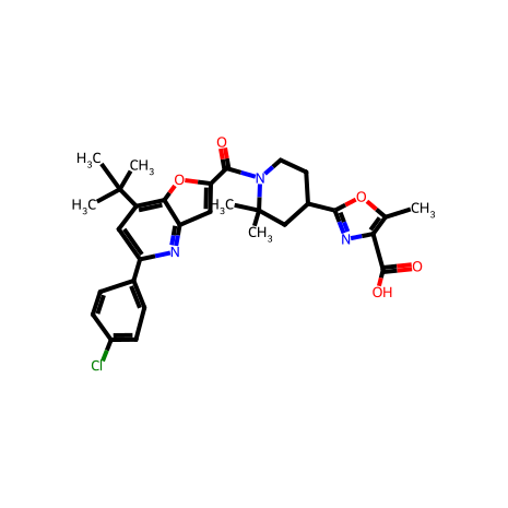 Cc1oc(C2CCN(C(=O)c3cc4nc(-c5ccc(Cl)cc5)cc(C(C)(C)C)c4o3)C(C)(C)C2)nc1C(=O)O